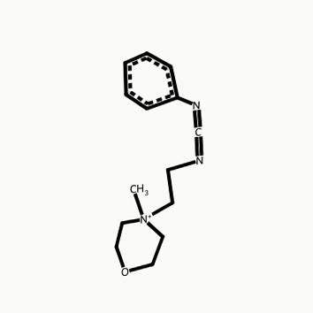 C[N+]1(CCN=C=Nc2ccccc2)CCOCC1